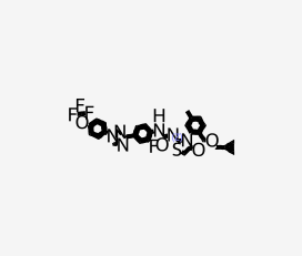 Cc1ccc(COCC2CC2)c(N2C(=O)CS/C2=N\C(=O)Nc2ccc(-c3ncn(-c4ccc(OC(F)(F)F)cc4)n3)cc2F)c1